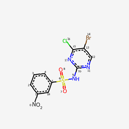 O=[N+]([O-])c1cccc(S(=O)(=O)Nc2ncc(Br)c(Cl)n2)c1